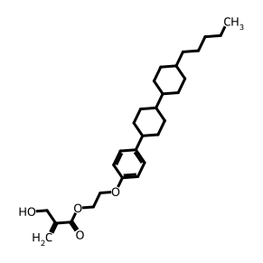 C=C(CO)C(=O)OCCOc1ccc(C2CCC(C3CCC(CCCCC)CC3)CC2)cc1